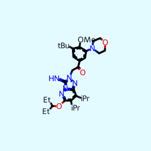 CCC(CC)Oc1nn2c(=N)n(CC(=O)c3cc(N4CCOCC4)c(OC)c(C(C)(C)C)c3)nc2c(C(C)C)c1C(C)C